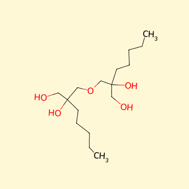 CCCCCC(O)(CO)COCC(O)(CO)CCCCC